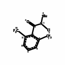 CC(C)(C)N(Cl)C(=O)c1c(C(F)(F)F)cccc1C(F)(F)F